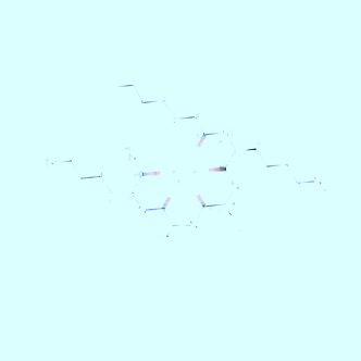 CCCCCCCCCCCCCCCC(=O)N[C@@H](CCCCN)C(=O)N[C@@H](C)C(=O)N[C@@H](C)C(=O)N[C@H](CCCCN)C(N)=O